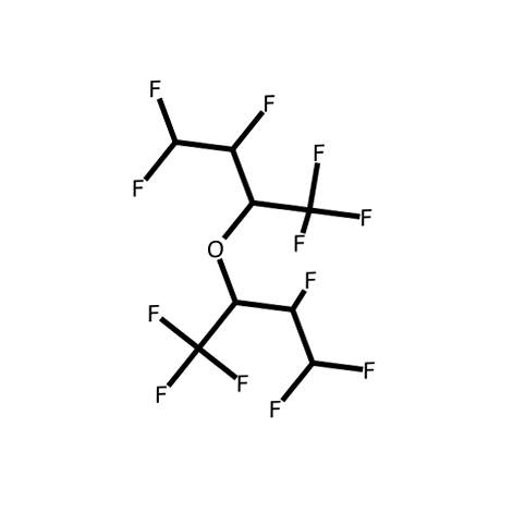 FC(F)C(F)C(OC(C(F)C(F)F)C(F)(F)F)C(F)(F)F